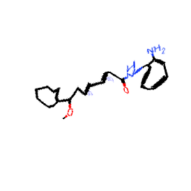 COC(C/C=C/C=C/C(=O)Nc1ccccc1N)C1CCCCC1